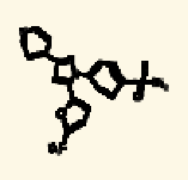 Cc1ccc(-c2cc(-c3ccncc3)nn2-c2ccc(S(N)(=O)=O)cc2)o1